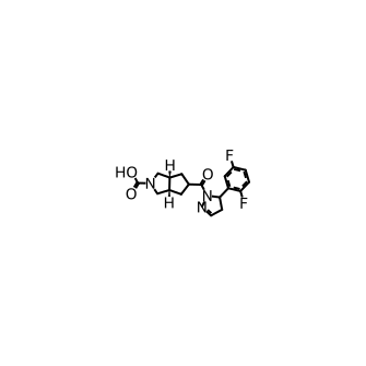 O=C(O)N1C[C@H]2CC(C(=O)N3N=CCC3c3cc(F)ccc3F)C[C@H]2C1